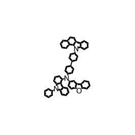 c1ccc(-n2c3ccccc3c3c(N(c4ccc(-c5ccc(-n6c7ccccc7c7ccc8ccccc8c76)cc5)cc4)c4ccc5oc6ccccc6c5c4)cccc32)cc1